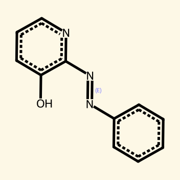 Oc1cccnc1/N=N/c1ccccc1